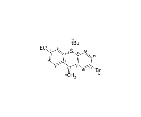 C=C(c1ccc(CC)cc1)c1cc(Br)ccc1SC(C)(C)C